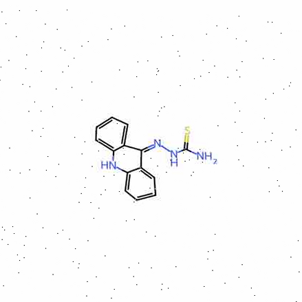 NC(=S)NN=c1c2ccccc2[nH]c2ccccc12